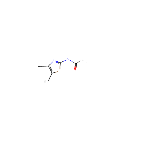 BC(=O)Nc1nc(C)c(C(C)C)s1